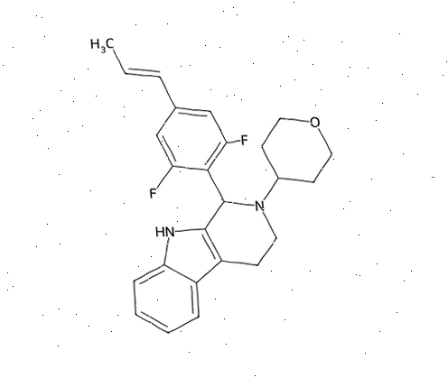 C/C=C/c1cc(F)c(C2c3[nH]c4ccccc4c3CCN2C2CCOCC2)c(F)c1